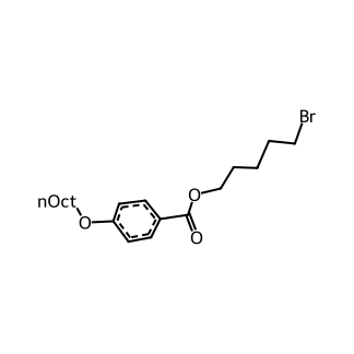 CCCCCCCCOc1ccc(C(=O)OCCCCCBr)cc1